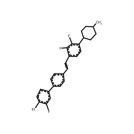 CCc1ccc(-c2ccc(/C=C/c3ccc(C4CCC(C)CC4)c(F)c3F)cc2)cc1F